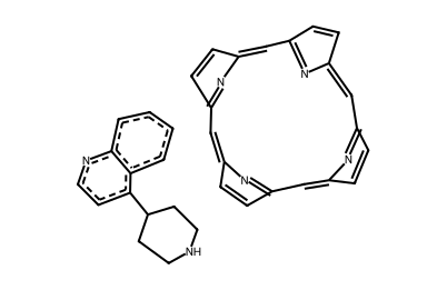 C1=CC2=NC1=CC1=NC(=CC3=NC(=CC4=NC(=C2)C=C4)C=C3)C=C1.c1ccc2c(C3CCNCC3)ccnc2c1